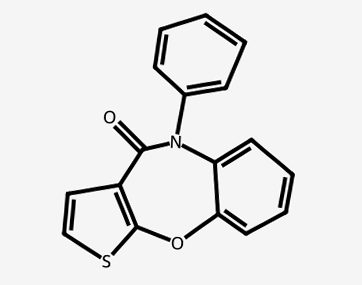 O=C1c2ccsc2Oc2ccccc2N1c1ccccc1